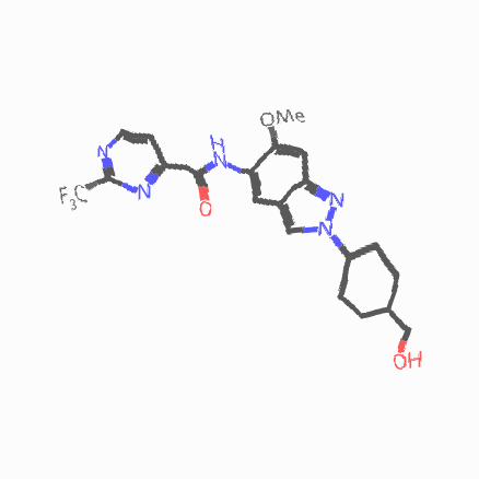 COc1cc2nn(C3CCC(CO)CC3)cc2cc1NC(=O)c1ccnc(C(F)(F)F)n1